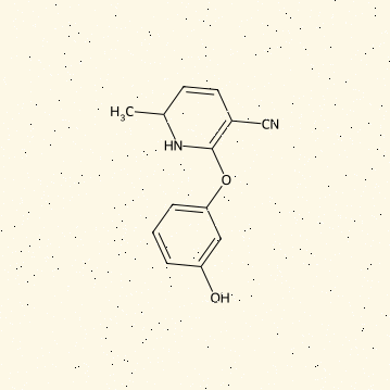 CC1C=CC(C#N)=C(Oc2cccc(O)c2)N1